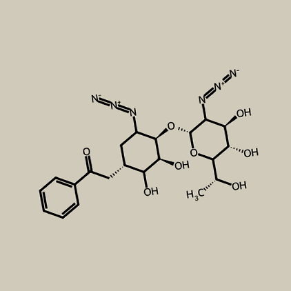 C[C@@H](O)C1O[C@H](O[C@@H]2C(N=[N+]=[N-])C[C@@H](CC(=O)c3ccccc3)C(O)[C@@H]2O)C(N=[N+]=[N-])[C@@H](O)[C@@H]1O